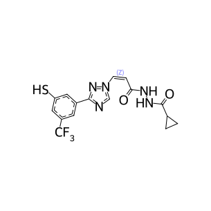 O=C(/C=C\n1cnc(-c2cc(S)cc(C(F)(F)F)c2)n1)NNC(=O)C1CC1